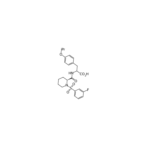 CC(C)Oc1ccc(CC(NC(=O)[C@@H]2CCCCN2S(=O)(=O)c2cccc(F)c2)C(=O)O)cc1